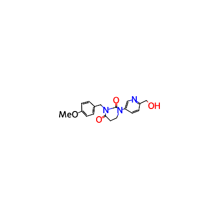 COc1ccc(CN2C(=O)CCN(c3ccc(CO)nc3)C2=O)cc1